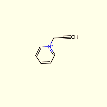 C#CC[n+]1ccccc1